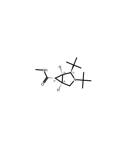 CNC(=O)[C@H]1[C@@H]2CN(C(C)(C)C)[C@H](C(C)(C)C)[C@@H]21